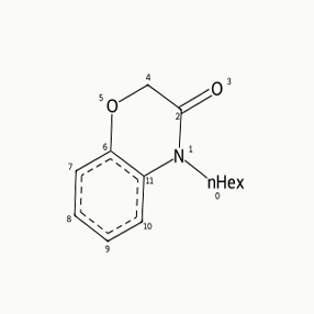 CCCCCCN1C(=O)COc2ccccc21